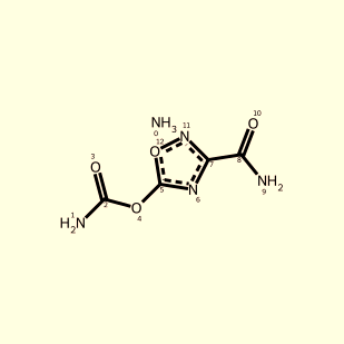 N.NC(=O)Oc1nc(C(N)=O)no1